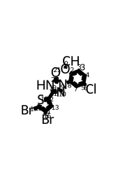 COc1ccc(Cl)cc1-n1nc(-c2cc(Br)c(Br)s2)[nH]c1=O